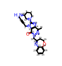 CC#CCn1c(N2CCCC(N)C2)nc2c(C)nn(CC3=Nc4ccccc4OCC3)c(=O)c21